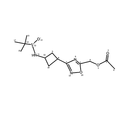 CC(=O)OCc1nc(C2CC(N[S+]([O-])C(C)(C)C)C2)no1